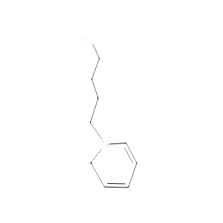 OCCCCN1C=CC=CC1